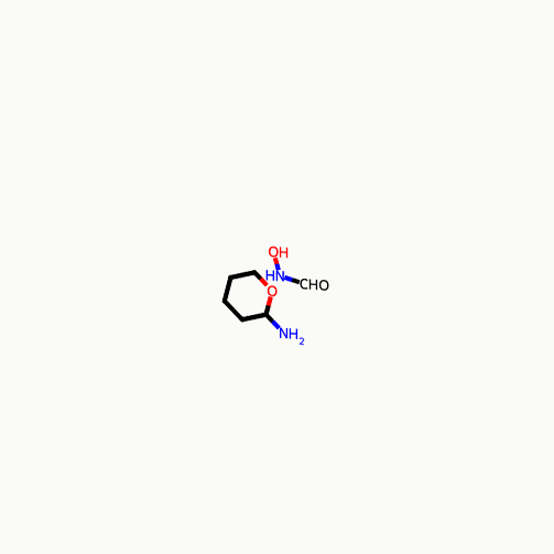 NC1CCCCO1.O=CNO